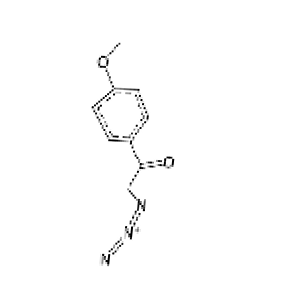 COc1ccc(C(=O)CN=[N+]=[N-])cc1